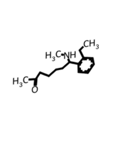 CCc1ccccc1C(CCCCC(C)=O)NC